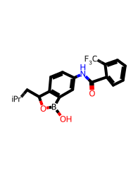 CC(C)CC1OB(O)c2cc(NC(=O)c3ccccc3C(F)(F)F)ccc21